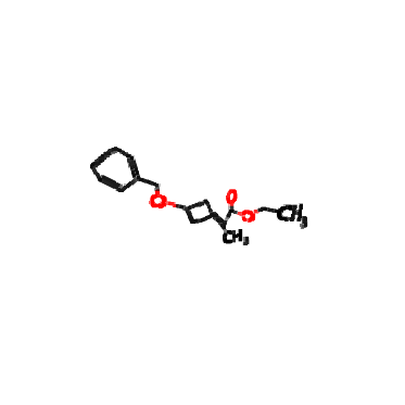 CCOC(=O)C(C)=C1CC(OCc2ccccc2)C1